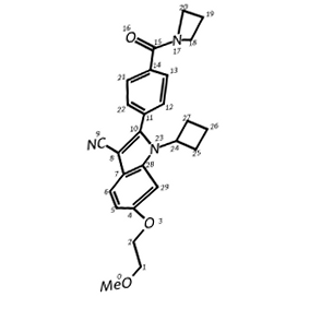 COCCOc1ccc2c(C#N)c(-c3ccc(C(=O)N4CCC4)cc3)n(C3CCC3)c2c1